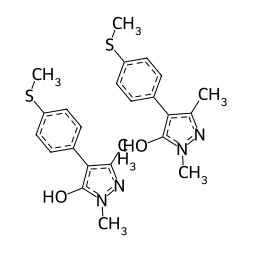 CSc1ccc(-c2c(C)nn(C)c2O)cc1.CSc1ccc(-c2c(C)nn(C)c2O)cc1